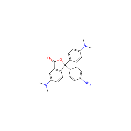 CN(C)c1ccc(C2(C3C=CC(N)=CC3)OC(=O)c3cc(N(C)C)ccc32)cc1